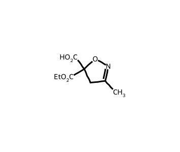 CCOC(=O)C1(C(=O)O)CC(C)=NO1